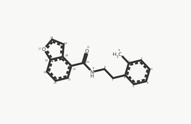 [CH2]c1ccccc1CCNC(=O)c1cccc2occc12